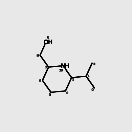 CC(C)C1CCCC(CO)N1